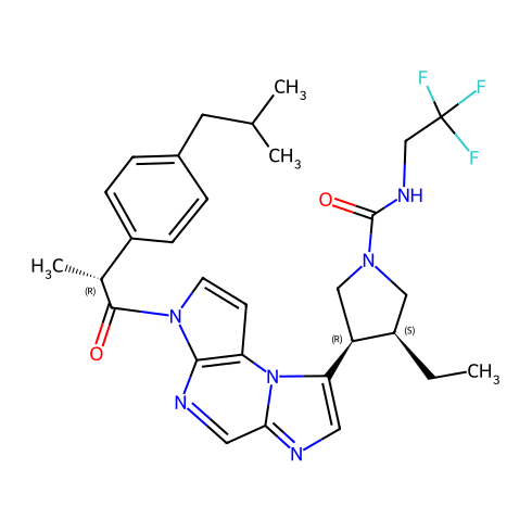 CC[C@@H]1CN(C(=O)NCC(F)(F)F)C[C@@H]1c1cnc2cnc3c(ccn3C(=O)[C@H](C)c3ccc(CC(C)C)cc3)n12